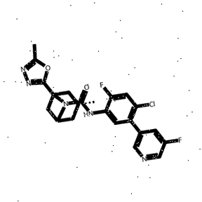 Cc1nnc(C23CC(C[C@@H](C)C2)N3C(=O)Nc2cc(-c3cncc(F)c3)c(Cl)cc2F)o1